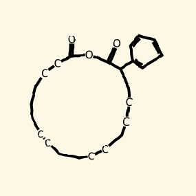 O=C1CCCCCCCCCCCCCCCC(c2ccccc2)C(=O)O1